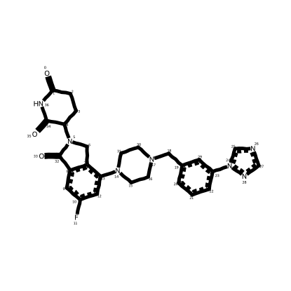 O=C1CCC(N2Cc3c(cc(F)cc3N3CCN(Cc4cccc(-n5cncn5)c4)CC3)C2=O)C(=O)N1